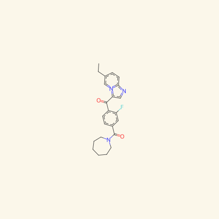 CCc1ccc2ncc(C(=O)c3ccc(C(=O)N4CCCCCC4)cc3F)n2c1